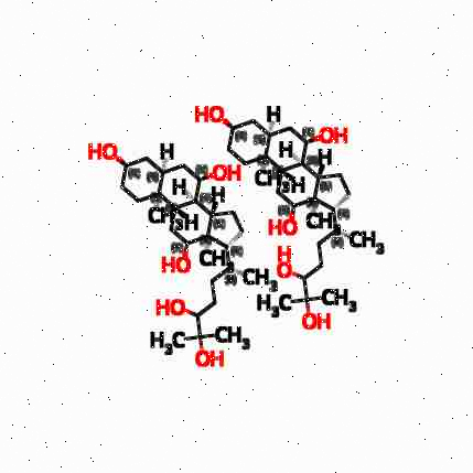 C[C@H](CCC(O)C(C)(C)O)[C@H]1CC[C@H]2[C@@H]3[C@H](O)C[C@@H]4C[C@H](O)CC[C@]4(C)[C@H]3C[C@H](O)[C@]12C.C[C@H](CCC(O)C(C)(C)O)[C@H]1CC[C@H]2[C@@H]3[C@H](O)C[C@@H]4C[C@H](O)CC[C@]4(C)[C@H]3C[C@H](O)[C@]12C